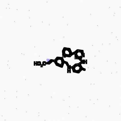 Cc1ccc(NCc2ccc(/C=C/C(=O)O)cc2)cc1Nc1nccc(-c2cccnc2)n1